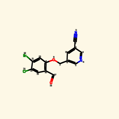 N#Cc1cncc(COc2cc(Br)c(Cl)cc2C=O)c1